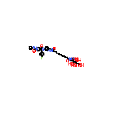 O=C(CCCCCCCCCCC(=O)NC[C@@H](O)[C@H](O)[C@@H](O)[C@@H](O)CO)NCc1ccc(N2C(=O)C3(CCN(C(=O)NC4CCCC4)CC3)C2c2ccc(F)cc2)cc1